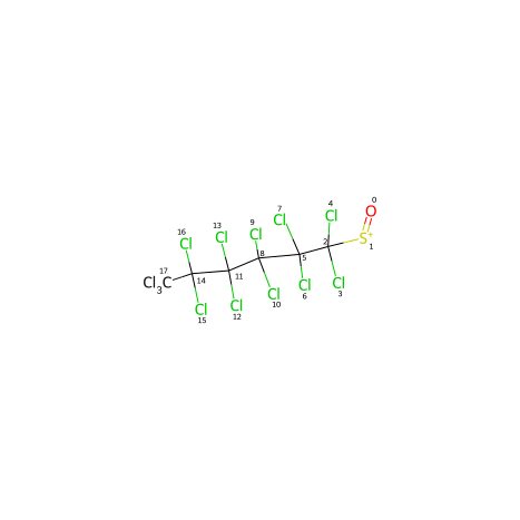 O=[S+]C(Cl)(Cl)C(Cl)(Cl)C(Cl)(Cl)C(Cl)(Cl)C(Cl)(Cl)C(Cl)(Cl)Cl